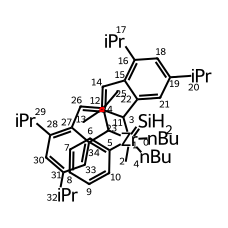 CCC[CH2][Zr]([CH3])(=[SiH2])([CH2]CCC)([c]1ccccc1)([CH]1C(C)=Cc2c(C(C)C)cc(C(C)C)cc21)[CH]1C(C)=Cc2c(C(C)C)cc(C(C)C)cc21